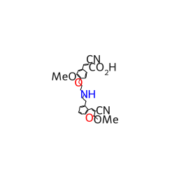 COC(=O)C(C#N)=Cc1ccccc1CCNCCOc1ccc(C=C(C#N)C(=O)O)cc1OC